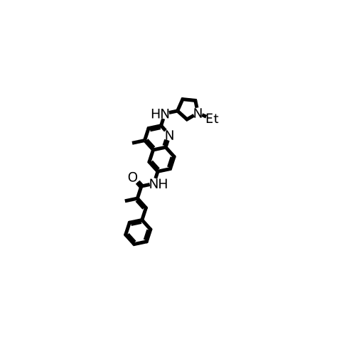 CCN1CCC(Nc2cc(C)c3cc(NC(=O)C(C)=Cc4ccccc4)ccc3n2)C1